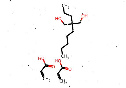 C=CC(=O)O.C=CC(=O)O.CCCCCC(CO)(CO)CCC